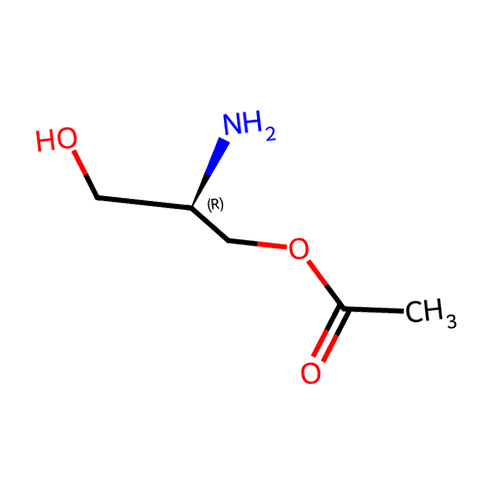 CC(=O)OC[C@H](N)CO